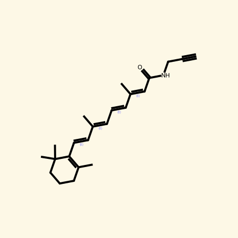 C#CCNC(=O)/C=C(C)/C=C/C=C(C)/C=C/C1=C(C)CCCC1(C)C